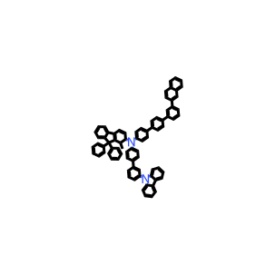 CC1C2=C(C=CC1N(c1ccc(-c3ccc(-c4cccc(-c5ccc6ccccc6c5)c4)cc3)cc1)c1ccc(-c3cccc(-n4c5ccccc5c5ccccc54)c3)cc1)c1ccccc1C2(c1ccccc1)c1ccccc1